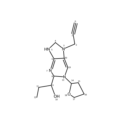 C#CCN1CNC2=NC(C(O)CC)N(C3CCCO3)C=C21